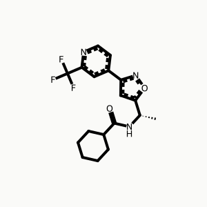 C[C@H](NC(=O)C1CCCCC1)c1cc(-c2ccnc(C(F)(F)F)c2)no1